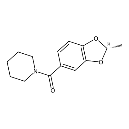 C[C@H]1Oc2ccc(C(=O)N3CCCCC3)cc2O1